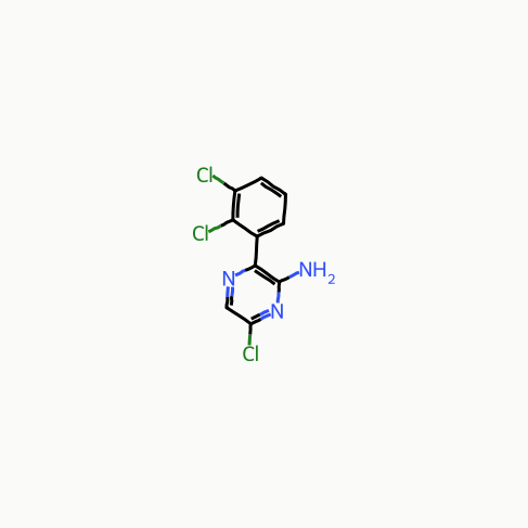 Nc1nc(Cl)cnc1-c1cccc(Cl)c1Cl